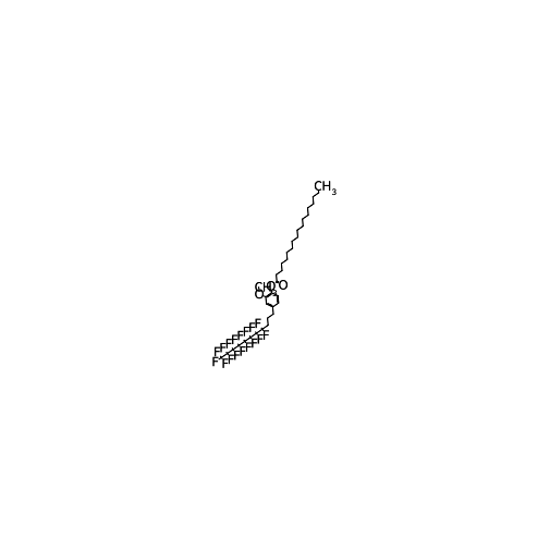 CCCCCCCCCCCCCCCCCC(=O)Oc1ccc(CCCC(F)(F)C(F)(F)C(F)(F)C(F)(F)C(F)(F)C(F)(F)C(F)(F)C(F)(F)F)cc1OC